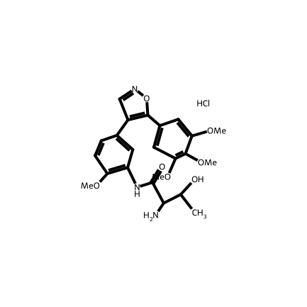 COc1ccc(-c2cnoc2-c2cc(OC)c(OC)c(OC)c2)cc1NC(=O)C(N)C(C)O.Cl